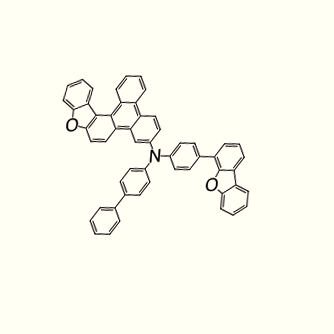 c1ccc(-c2ccc(N(c3ccc(-c4cccc5c4oc4ccccc45)cc3)c3ccc4c5ccccc5c5c(ccc6oc7ccccc7c65)c4c3)cc2)cc1